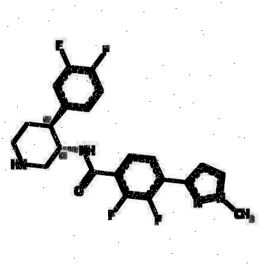 Cn1ccc(-c2ccc(C(=O)N[C@@H]3CNCC[C@H]3c3ccc(F)c(F)c3)c(F)c2F)n1